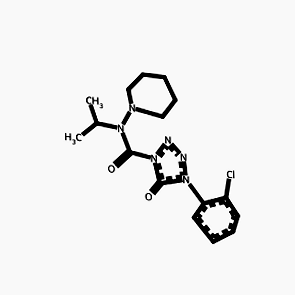 CC(C)N(C(=O)n1nnn(-c2ccccc2Cl)c1=O)N1CCCCC1